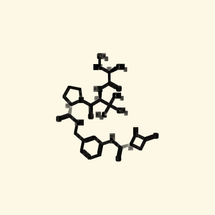 CN[C@@H](C)C(=O)N[C@H](C(=O)N1CCC[C@H]1C(=O)NCc1cccc(NC(=O)[C@H]2CC(=O)N2)c1)C(C)(C)C